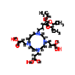 CCO[Si](CCCN1CCCN(CCC(=O)O)CCN(CCC(=O)O)CCN(CCC(=O)O)CC1)(OCC)OCC